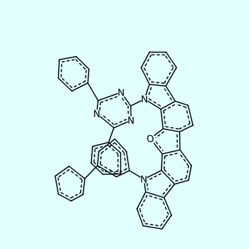 c1ccc(-c2cccc(-n3c4ccccc4c4ccc5c6ccc7c8ccccc8n(-c8nc(-c9ccccc9)nc(-c9ccccc9)n8)c7c6oc5c43)c2)cc1